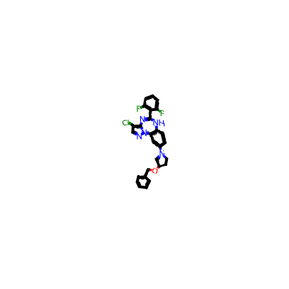 Fc1cccc(F)c1C1=Nc2c(Cl)cnn2-c2cc(N3CCC(OCc4ccccc4)C3)ccc2N1